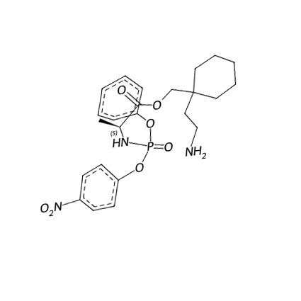 C[C@H](NP(=O)(Oc1ccccc1)Oc1ccc([N+](=O)[O-])cc1)C(=O)OCC1(CCN)CCCCC1